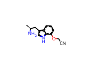 C[C@H](N)Cc1c[nH]c2c(OCC#N)cccc12